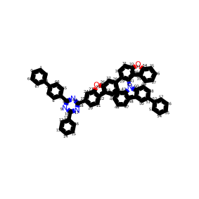 c1ccc(-c2ccc(-c3nc(-c4ccccc4)nc(-c4ccc5c(c4)oc4cc(-c6ccc7oc8ccccc8c7c6-n6c7ccccc7c7cc(-c8ccccc8)ccc76)ccc45)n3)cc2)cc1